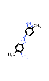 Cc1ccc(/N=N/c2ccc(C)c(N)c2)cc1N